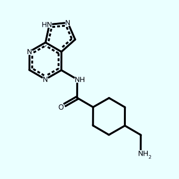 NCC1CCC(C(=O)Nc2ncnc3[nH]ncc23)CC1